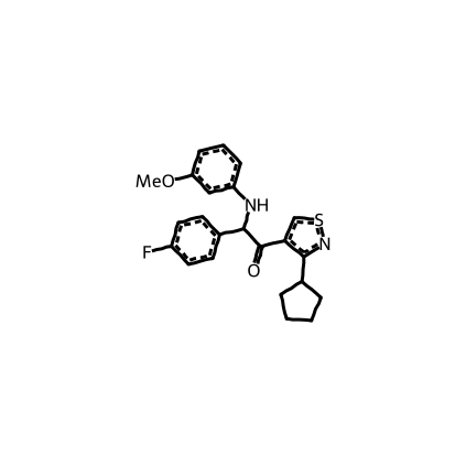 COc1cccc(NC(C(=O)c2csnc2C2CCCC2)c2ccc(F)cc2)c1